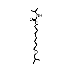 CC(C)COCCCCCCCOC(=O)NC(C)C